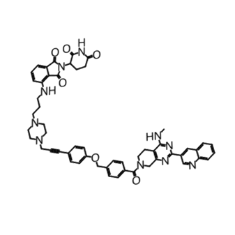 CNc1nc(-c2cnc3ccccc3c2)nc2c1CCN(C(=O)c1ccc(COc3ccc(C#CCN4CCN(CCCNc5cccc6c5C(=O)N(C5CCC(=O)NC5=O)C6=O)CC4)cc3)cc1)C2